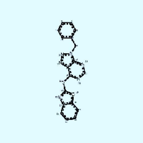 c1ccc(Cn2nnc3c(Sc4nc5ccccc5o4)ncnc32)cc1